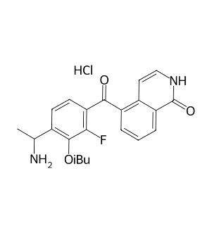 CC(C)COc1c(C(C)N)ccc(C(=O)c2cccc3c(=O)[nH]ccc23)c1F.Cl